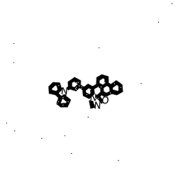 c1cc(-c2cccc(-n3c4ccccc4c4ccccc43)c2)cc(-c2cccc3c4ccccc4c4oc5nccnc5c4c23)c1